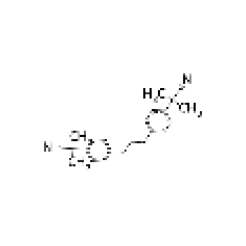 CC(C)(C#N)c1ccc(CCCc2ccc(C(C)(C)C#N)cc2)cc1